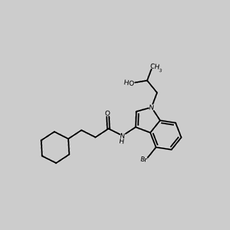 CC(O)Cn1cc(NC(=O)CCC2CCCCC2)c2c(Br)cccc21